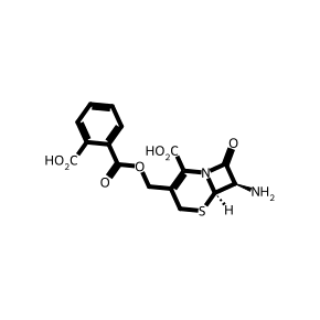 N[C@@H]1C(=O)N2C(C(=O)O)=C(COC(=O)c3ccccc3C(=O)O)CS[C@H]12